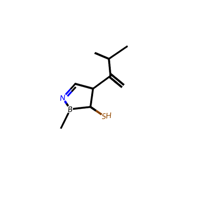 C=C(C(C)C)C1C=NB(C)C1S